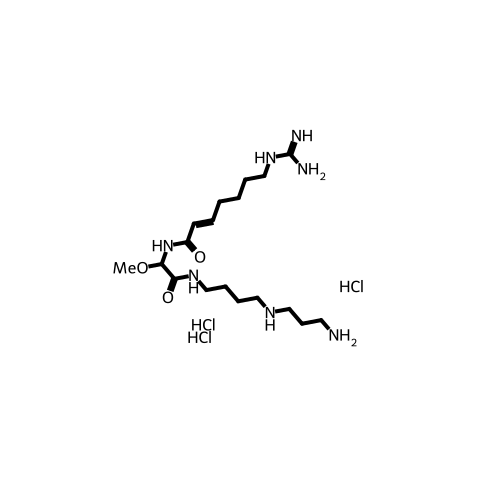 COC(NC(=O)C=CCCCCNC(=N)N)C(=O)NCCCCNCCCN.Cl.Cl.Cl